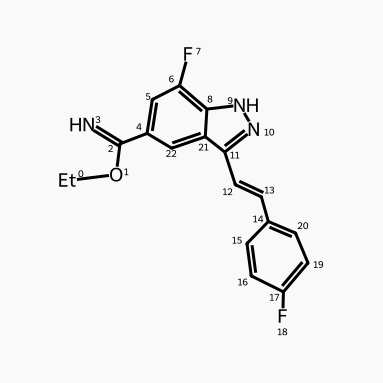 CCOC(=N)c1cc(F)c2[nH]nc(/C=C/c3ccc(F)cc3)c2c1